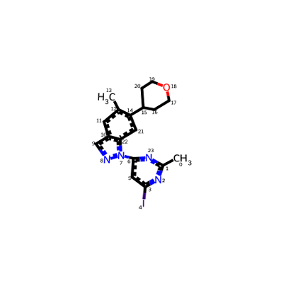 Cc1nc(I)cc(-n2ncc3cc(C)c(C4CCOCC4)cc32)n1